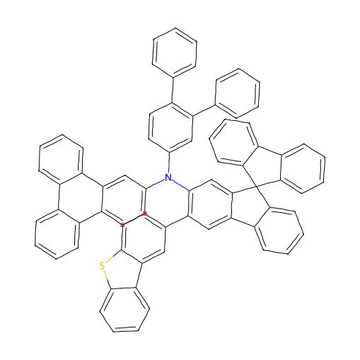 c1ccc(-c2ccc(N(c3ccc4c5ccccc5c5ccccc5c4c3)c3cc4c(cc3-c3ccc5sc6ccccc6c5c3)-c3ccccc3C43c4ccccc4-c4ccccc43)cc2-c2ccccc2)cc1